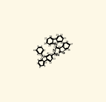 c1ccc(-n2c3ccccc3c3ccc(-c4nc(-n5c6ccccc6c6ccccc65)c5c(n4)sc4ccccc45)cc32)cc1